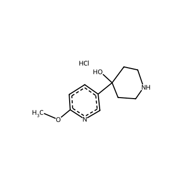 COc1ccc(C2(O)CCNCC2)cn1.Cl